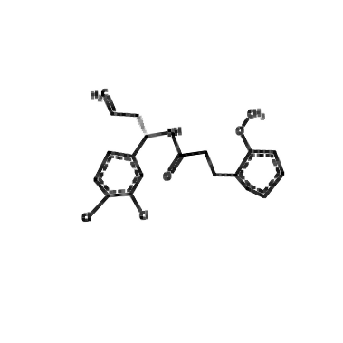 C=CC[C@H](NC(=O)CCc1ccccc1OC)c1ccc(Cl)c(Cl)c1